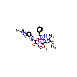 CCC(NC(=O)C(CC(C)C)NC(=O)NCc1ccccc1)C(=O)C(=O)NCc1ccc2c(c1)ncn2C